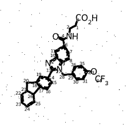 O=C(O)CCNC(=O)c1ccc2c(c1)nc(-c1ccc3c(c1)CC1C=CC=CC31)n2Cc1ccc(OC(F)(F)F)cc1